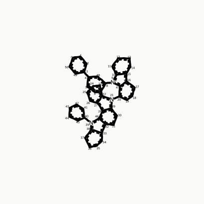 c1ccc(-c2cccc(-n3c4ccccc4c4cccc(-n5c6ccccc6c6c5ccc5c7ccccc7n(-c7ccccc7)c56)c43)c2)cc1